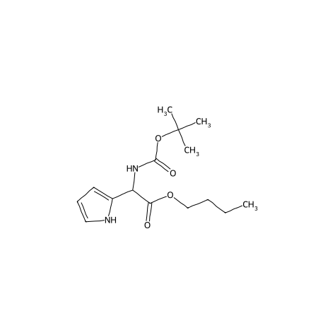 CCCCOC(=O)C(NC(=O)OC(C)(C)C)c1ccc[nH]1